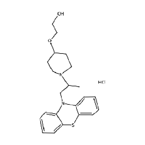 CC(CN1c2ccccc2Sc2ccccc21)N1CCC(OCCO)CC1.Cl